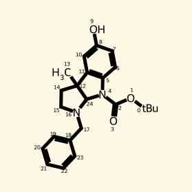 CC(C)(C)OC(=O)N1c2ccc(O)cc2C2(C)CCN(Cc3ccccc3)C12